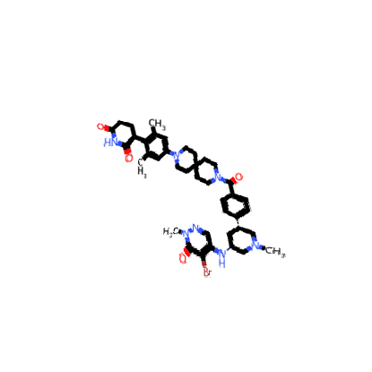 Cc1cc(N2CCC3(CCN(C(=O)c4ccc([C@H]5C[C@@H](Nc6cnn(C)c(=O)c6Br)CN(C)C5)cc4)CC3)CC2)cc(C)c1C1CCC(=O)NC1=O